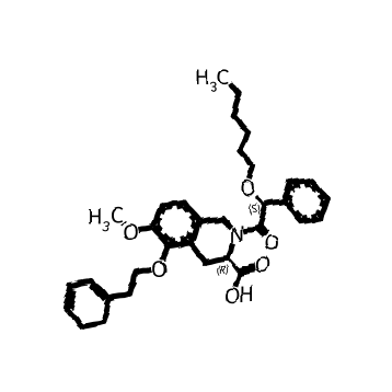 CCCCCCO[C@H](C(=O)N1Cc2ccc(OC)c(OCCC3=CC=CCC3)c2C[C@@H]1C(=O)O)c1ccccc1